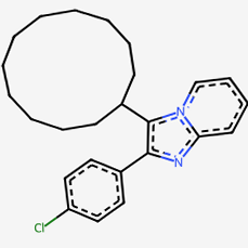 Clc1ccc(-c2nc3ccccn3c2C2CCCCCCCCCCC2)cc1